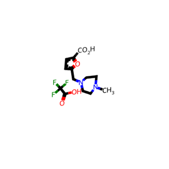 CN1CCN(Cc2ccc(C(=O)O)o2)CC1.O=C(O)C(F)(F)F